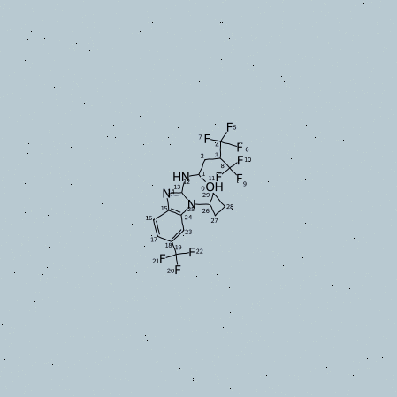 OC(CC(C(F)(F)F)C(F)(F)F)Nc1nc2ccc(C(F)(F)F)cc2n1C1CCC1